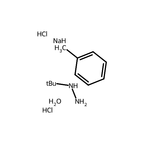 CC(C)(C)NN.Cc1ccccc1.Cl.Cl.O.[NaH]